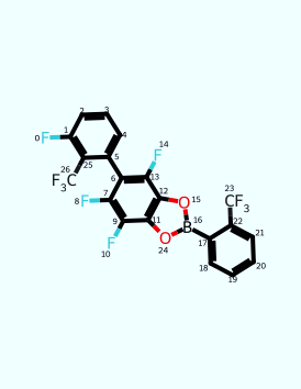 Fc1cccc(-c2c(F)c(F)c3c(c2F)OB(c2ccccc2C(F)(F)F)O3)c1C(F)(F)F